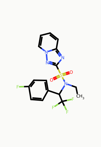 CCN(C(c1ccc(F)cc1)C(F)(F)F)S(=O)(=O)c1nc2ccccn2n1